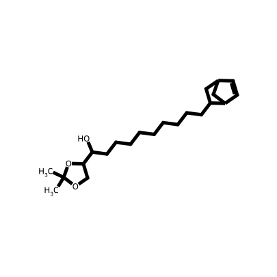 CC1(C)OCC(C(O)CCCCCCCCCC2CC3C=CC2C3)O1